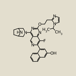 CC(C)n1ccnc1CCOc1nc(N2CC3CCC(C2)N3)c2cnc(-c3cc(O)cc4ccccc34)c(F)c2n1